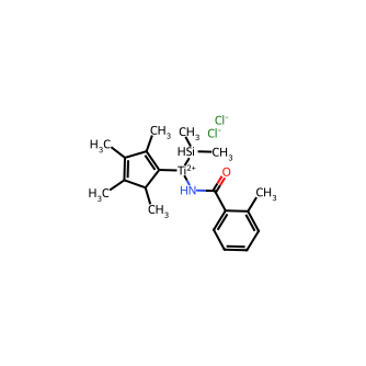 CC1=C(C)C(C)[C]([Ti+2]([NH]C(=O)c2ccccc2C)[SiH](C)C)=C1C.[Cl-].[Cl-]